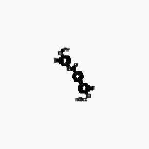 CCCCCCCCOc1ccc(-c2ccc(C(=O)Oc3ccc(OCCC)c(F)c3)cc2)cc1F